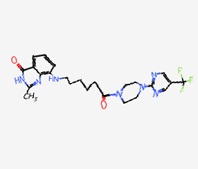 Cc1nc2c(NCCCCCC(=O)N3CCN(c4ncc(C(F)(F)F)cn4)CC3)cccc2c(=O)[nH]1